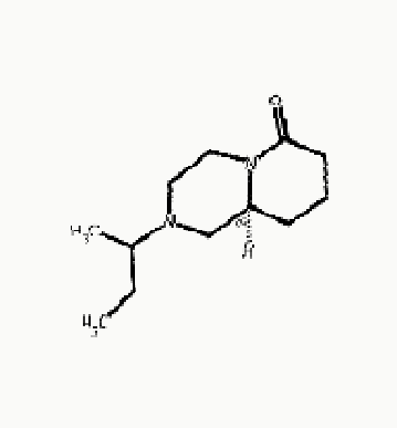 CCC(C)N1CCN2C(=O)CCC[C@H]2C1